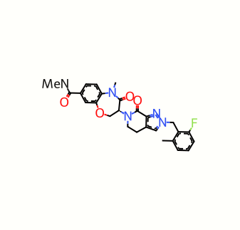 CNC(=O)c1ccc2c(c1)OC[C@H](N1CCc3cn(Cc4c(C)cccc4F)nc3C1=O)C(=O)N2C